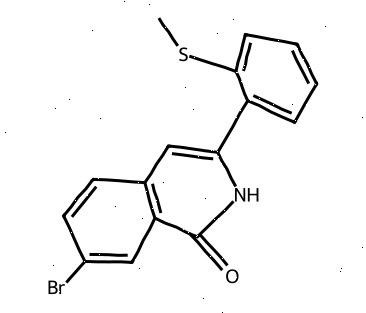 CSc1ccccc1-c1cc2ccc(Br)cc2c(=O)[nH]1